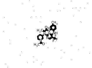 C=CC(=O)Nc1cc(C)ccc1Nc1nc(NC2CCCN(C(C)=O)C2)ncc1C(F)(F)F